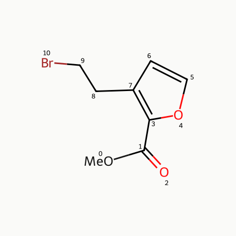 COC(=O)c1occc1CCBr